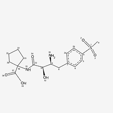 CS(=O)(=O)c1ccc(C[C@H](N)[C@@H](O)C(=O)NC2(C(=O)O)CCCC2)cc1